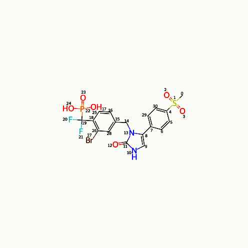 CS(=O)(=O)c1ccc(-c2c[nH]c(=O)n2Cc2ccc(C(F)(F)P(=O)(O)O)c(Br)c2)cc1